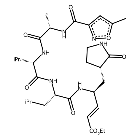 CCOC(=O)/C=C/[C@H](C[C@@H]1CCNC1=O)NC(=O)[C@H](CC(C)C)NC(=O)[C@@H](NC(=O)[C@H](C)NC(=O)c1cc(C)on1)C(C)C